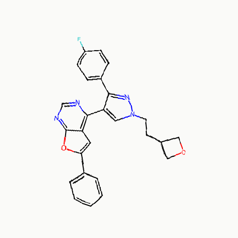 Fc1ccc(-c2nn(CCC3COC3)cc2-c2ncnc3oc(-c4ccccc4)cc23)cc1